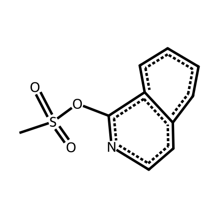 CS(=O)(=O)Oc1nccc2ccccc12